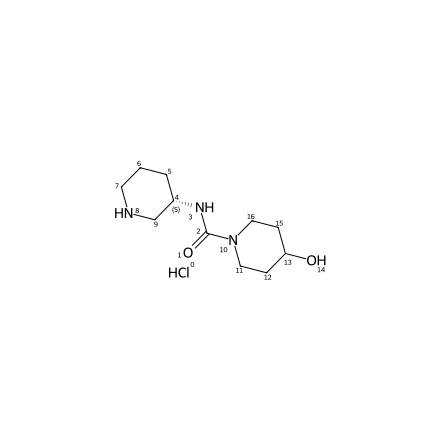 Cl.O=C(N[C@H]1CCCNC1)N1CCC(O)CC1